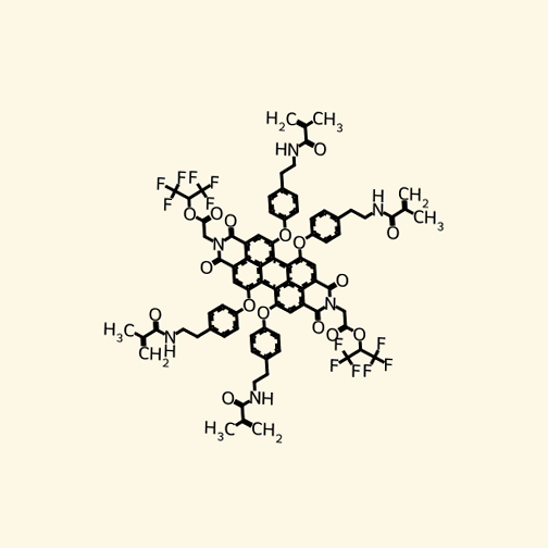 C=C(C)C(=O)NCCc1ccc(Oc2cc3c4c(cc(Oc5ccc(CCNC(=O)C(=C)C)cc5)c5c6c(Oc7ccc(CCNC(=O)C(=C)C)cc7)cc7c8c(cc(Oc9ccc(CCNC(=O)C(=C)C)cc9)c(c2c45)c86)C(=O)N(CC(=O)OC(C(F)(F)F)C(F)(F)F)C7=O)C(=O)N(CC(=O)OC(C(F)(F)F)C(F)(F)F)C3=O)cc1